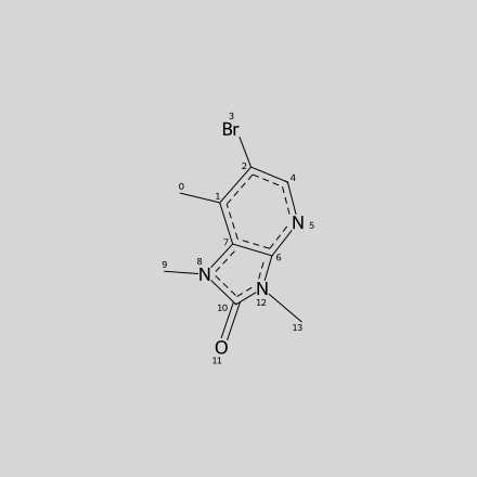 Cc1c(Br)cnc2c1n(C)c(=O)n2C